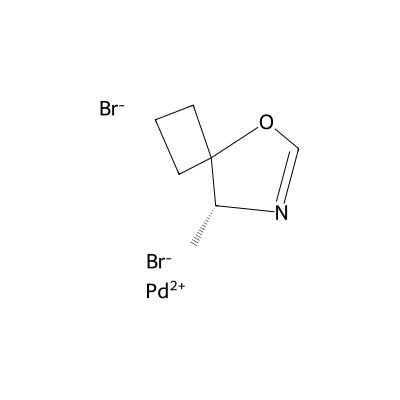 C[C@H]1N=COC12CCC2.[Br-].[Br-].[Pd+2]